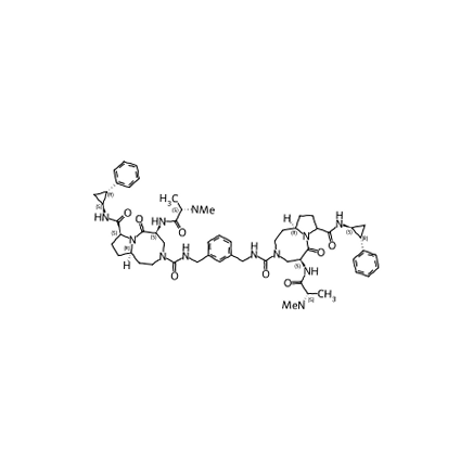 CN[C@@H](C)C(=O)N[C@H]1CN(C(=O)NCc2cccc(CNC(=O)N3CC[C@H]4CC[C@@H](C(=O)N[C@H]5C[C@@H]5c5ccccc5)N4C(=O)[C@@H](NC(=O)[C@H](C)NC)C3)c2)CC[C@H]2CCC(C(=O)N[C@H]3C[C@@H]3c3ccccc3)N2C1=O